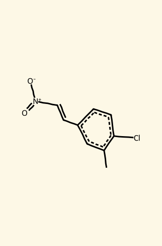 Cc1cc(/C=C/[N+](=O)[O-])ccc1Cl